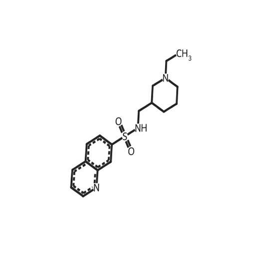 CCN1CCCC(CNS(=O)(=O)c2ccc3cccnc3c2)C1